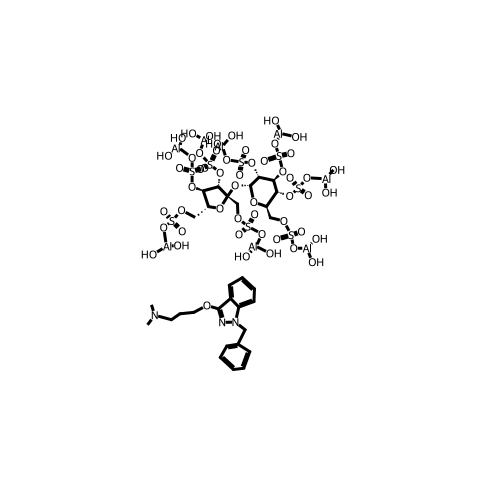 CN(C)CCCOc1nn(Cc2ccccc2)c2ccccc12.O=S(=O)(OC[C@H]1O[C@@](COS(=O)(=O)[O][Al]([OH])[OH])(O[C@H]2O[C@H](COS(=O)(=O)[O][Al]([OH])[OH])[C@@H](OS(=O)(=O)[O][Al]([OH])[OH])[C@H](OS(=O)(=O)[O][Al]([OH])[OH])[C@H]2OS(=O)(=O)[O][Al]([OH])[OH])[C@@H](OS(=O)(=O)[O][Al]([OH])[OH])[C@@H]1OS(=O)(=O)[O][Al]([OH])[OH])[O][Al]([OH])[OH]